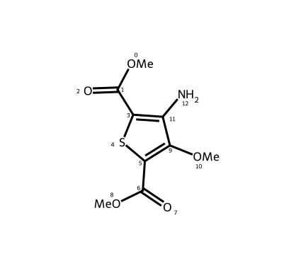 COC(=O)c1sc(C(=O)OC)c(OC)c1N